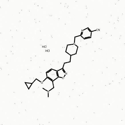 CN(C)Cc1c(OCC2CC2)ccc2c(CCC3CCN(Cc4ccc(C#N)cn4)CC3)noc12.Cl.Cl